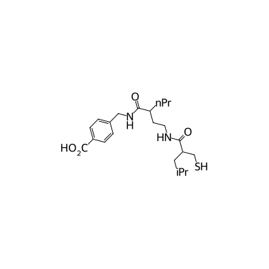 CCCC(CCNC(=O)C(CS)CC(C)C)C(=O)NCc1ccc(C(=O)O)cc1